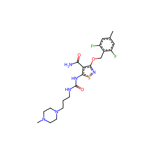 Cc1cc(F)c(COc2nsc(NC(=O)NCCCN3CCN(C)CC3)c2C(N)=O)c(F)c1